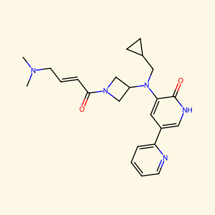 CN(C)CC=CC(=O)N1CC(N(CC2CC2)c2cc(-c3ccccn3)c[nH]c2=O)C1